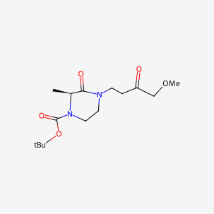 COCC(=O)CCN1CCN(C(=O)OC(C)(C)C)[C@@H](C)C1=O